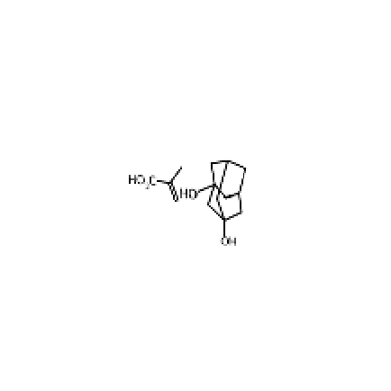 C=C(C)C(=O)O.OC12CC3CC(C1)CC(O)(C3)C2